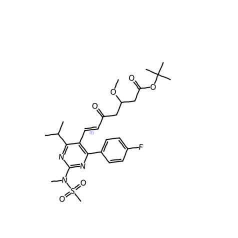 COC(CC(=O)/C=C/c1c(-c2ccc(F)cc2)nc(N(C)S(C)(=O)=O)nc1C(C)C)CC(=O)OC(C)(C)C